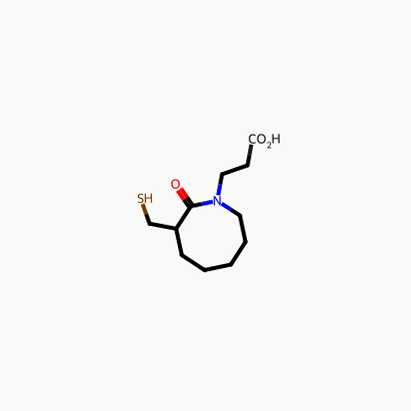 O=C(O)CCN1CCCCCC(CS)C1=O